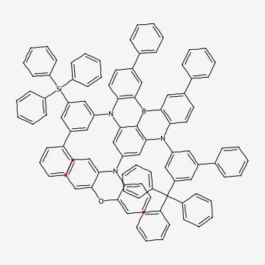 c1ccc(-c2cc(N3c4ccc(-c5ccccc5)cc4B4c5cc(-c6ccccc6)ccc5N(c5cc(-c6ccccc6)cc([Si](c6ccccc6)(c6ccccc6)c6ccccc6)c5)c5cc(N6c7ccccc7Oc7ccccc76)cc3c54)cc(C(c3ccccc3)(c3ccccc3)c3ccccc3)c2)cc1